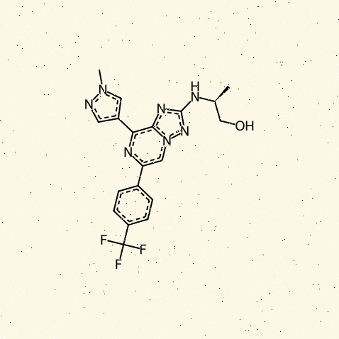 C[C@@H](CO)Nc1nc2c(-c3cnn(C)c3)nc(-c3ccc(C(F)(F)F)cc3)cn2n1